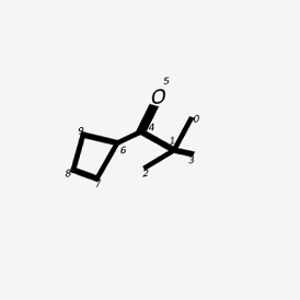 CC(C)(C)C(=O)C1CCC1